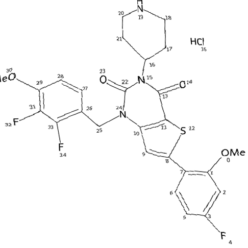 COc1cc(F)ccc1-c1cc2c(s1)c(=O)n(C1CCNCC1)c(=O)n2Cc1ccc(OC)c(F)c1F.Cl